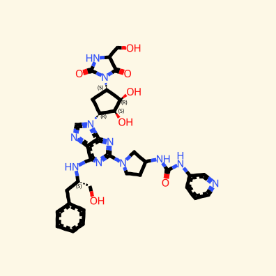 O=C(Nc1cccnc1)NC1CCN(c2nc(N[C@H](CO)Cc3ccccc3)c3ncn([C@@H]4C[C@H](N5C(=O)NC(CO)C5=O)[C@@H](O)[C@H]4O)c3n2)C1